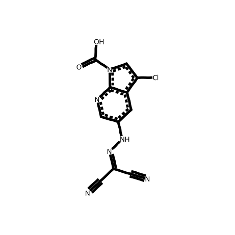 N#CC(C#N)=NNc1cnc2c(c1)c(Cl)cn2C(=O)O